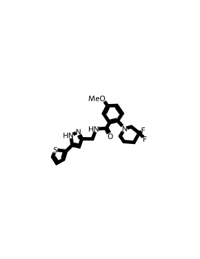 COc1ccc(N2CCCC(F)(F)C2)c(C(=O)NCc2cc(-c3cccs3)[nH]n2)c1